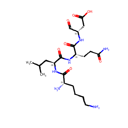 CC(C)C[C@H](NC(=O)[C@@H](N)CCCCN)C(=O)N[C@@H](CCC(N)=O)C(=O)N[C@H]([C]=O)CC(=O)O